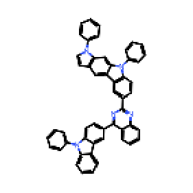 c1ccc(-n2ccc3cc4c5cc(-c6nc(-c7ccc8c(c7)c7ccccc7n8-c7ccccc7)c7ccccc7n6)ccc5n(-c5ccccc5)c4cc32)cc1